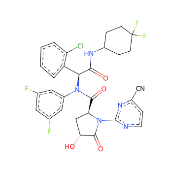 N#Cc1ccnc(N2C(=O)[C@H](O)C[C@H]2C(=O)N(c2cc(F)cc(F)c2)[C@H](C(=O)NC2CCC(F)(F)CC2)c2ccccc2Cl)n1